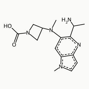 CC(N)c1nc2ccn(C)c2cc1N(C)C1CN(C(=O)O)C1